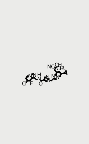 CC(C)(C#N)Cc1cc(C2CC2)cn2cc(Cn3cc(C(=O)NCc4ncn5ccc(Cl)c(F)c45)cn3)nc12